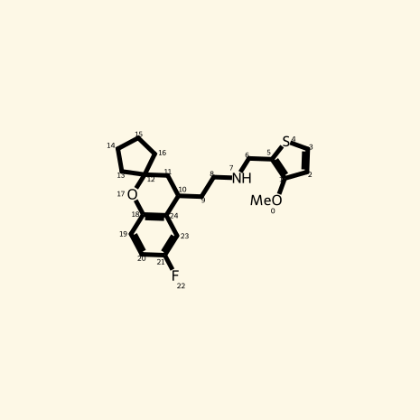 COc1ccsc1CNCCC1CC2(CCCC2)Oc2ccc(F)cc21